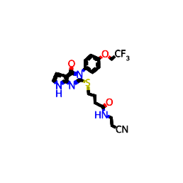 N#CCCNC(=O)CCCSc1nc2[nH]ccc2c(=O)n1-c1ccc(OCC(F)(F)F)cc1